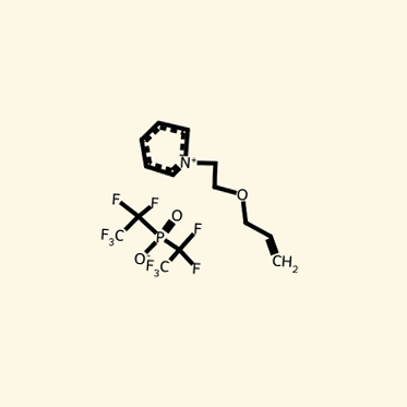 C=CCOCC[n+]1ccccc1.O=P([O-])(C(F)(F)C(F)(F)F)C(F)(F)C(F)(F)F